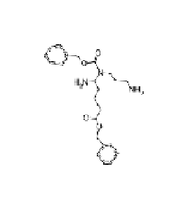 NCCCN(C(=O)OCc1ccccc1)C(N)CCCC(=O)OCc1ccccc1